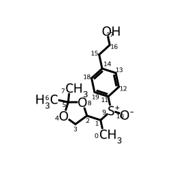 CC(C1COC(C)(C)O1)[S+]([O-])c1ccc(CCO)cc1